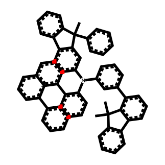 CC1(C)c2ccccc2-c2cccc(-c3cccc(N(c4ccc5c(c4)C(C)(c4ccccc4)c4ccccc4-5)c4ccccc4-c4cccc5cccc(-c6ccccc6)c45)c3)c21